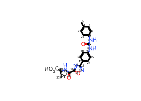 Cc1ccc(NC(=O)Nc2ccc(-c3noc(C(=O)NC(C(=O)O)C(C)C)n3)cc2)cc1